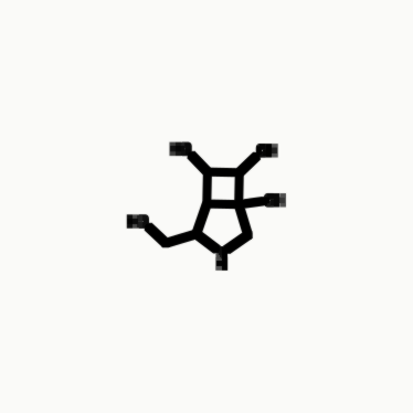 OCC1NCC2(O)C(O)C(O)C12